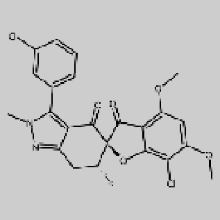 COc1cc(OC)c2c(c1Cl)O[C@]1(C2=O)C(=O)c2c(nn(C)c2-c2cccc(Cl)c2)C[C@H]1C